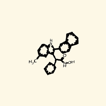 Cc1ccc2[nH]c(-c3ccc4ccccc4c3)c(C(C(=O)NO)c3ccccc3)c2c1